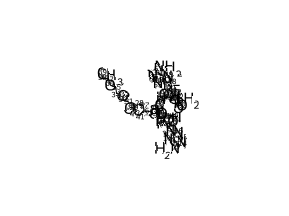 B[P@]1(=O)OC[C@H]2O[C@@H](n3cnc4c(N)ncnc43)[C@H](F)[C@@H]2O[P@](=O)(SCc2ccc(OCCOCCOCCC)cc2)OC[C@H]2O[C@@H](n3cnc4c(N)ncnc43)[C@H](F)[C@@H]2O1